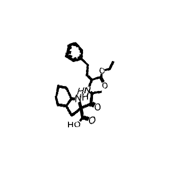 CCOC(=O)C(CCc1ccccc1)NC(C)C(=O)C1(C(=O)O)CC2CCCCC2N1